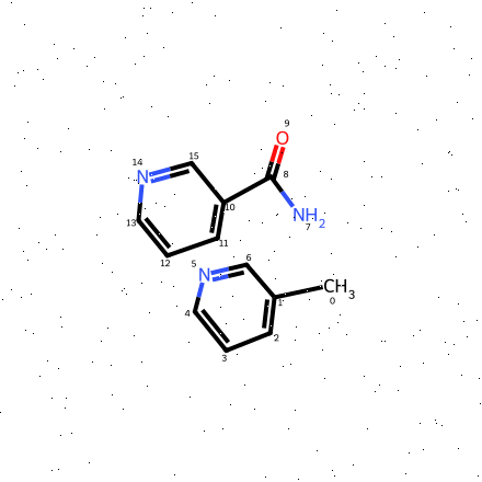 Cc1cccnc1.NC(=O)c1cccnc1